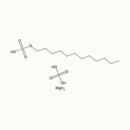 CCCCCCCCCCCCOS(=O)(=O)O.O=S(=O)(O)O.[MgH2]